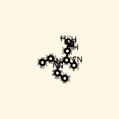 N#Cc1ccccc1-c1cc(-c2ccc(C34C[C@H]5C[C@@H](C3)C[C@@H](C4)C5)cc2)cc(-c2nc(-c3cccc(-c4ccccc4)c3)nc(-c3cccc(-c4ccccc4)c3)n2)c1